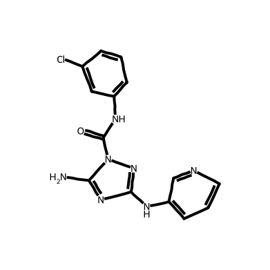 Nc1nc(Nc2cccnc2)nn1C(=O)Nc1cccc(Cl)c1